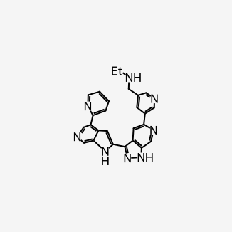 CCNCc1cncc(-c2cc3c(-c4cc5c(-c6ccccn6)cncc5[nH]4)n[nH]c3cn2)c1